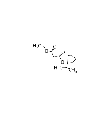 CCOC(=O)CC(=O)OC1(C(C)C)CCCC1